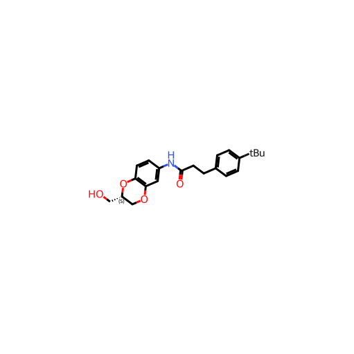 CC(C)(C)c1ccc(CCC(=O)Nc2ccc3c(c2)OC[C@H](CO)O3)cc1